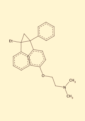 CCC1(c2ccccc2)CC1(c1ccccc1)c1ccc(OCCN(C)C)cc1